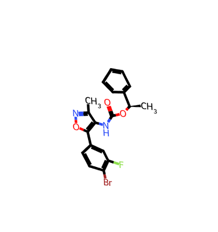 Cc1noc(-c2ccc(Br)c(F)c2)c1NC(=O)O[C@H](C)c1ccccc1